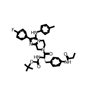 CCC(=O)Nc1ccc(C[C@H](NC(=O)OC(C)(C)C)C(=O)N2CCn3c(nc(-c4ccc(F)cc4)c3Nc3ccc(C)cc3)C2)cc1